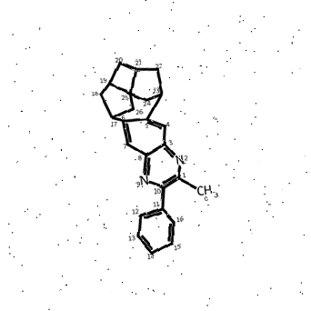 Cc1nc2cc3c(cc2nc1-c1ccccc1)C1CC2CC4CC3CC42C1